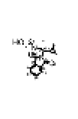 C[C@@H](NC(=O)O)[C@@H](C1CC1)N1C(=O)c2ccccc2C1=O